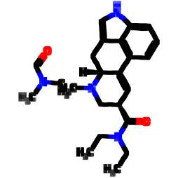 CCN(CC)C(=O)[C@@H]1C=C2c3cccc4[nH]cc(c34)C[C@H]2N(C)C1.CN(C)C=O